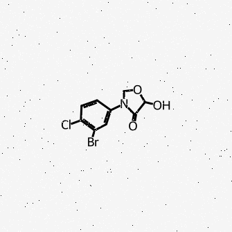 O=C1C(O)OCN1c1ccc(Cl)c(Br)c1